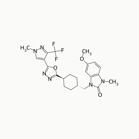 COc1ccc2c(c1)n(C[C@H]1CC[C@H](c3nnc(-c4cn(C)nc4C(F)(F)F)o3)CC1)c(=O)n2C